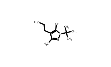 CCCc1c(C)nn(C(C)(C)C)c1O